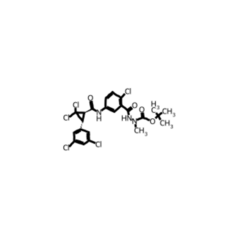 CN(NC(=O)c1cc(NC(=O)[C@H]2[C@H](c3cc(Cl)cc(Cl)c3)C2(Cl)Cl)ccc1Cl)C(=O)OC(C)(C)C